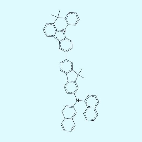 CC1(C)c2cc(-c3ccc4c(c3)c3cccc5c3n4-c3ccccc3C5(C)C)ccc2-c2ccc(N(C3=CCC4C=CC=CC4=C3)c3cccc4ccccc34)cc21